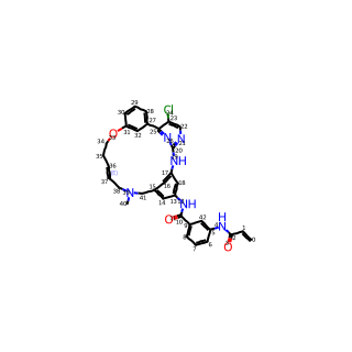 C=CC(=O)Nc1cccc(C(=O)Nc2cc3cc(c2)Nc2ncc(Cl)c(n2)-c2cccc(c2)OCC/C=C/CN(C)C3)c1